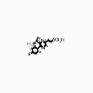 CC(C)N(C)c1nc(/C=C/S(=O)(=O)O)cnc1-c1ccc(F)cc1